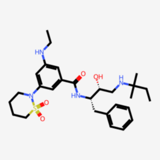 CCNc1cc(C(=O)N[C@@H](Cc2ccccc2)[C@H](O)CNC(C)(C)CC)cc(N2CCCCS2(=O)=O)c1